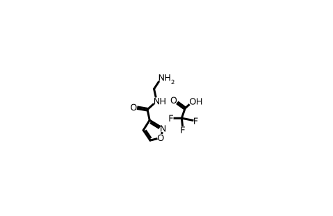 NCNC(=O)c1ccon1.O=C(O)C(F)(F)F